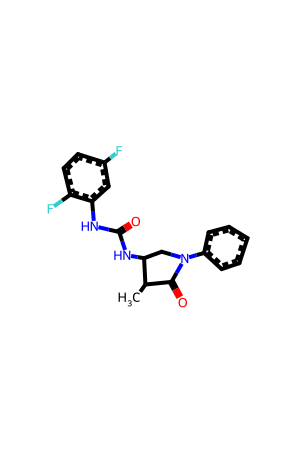 CC1C(=O)N(c2ccccc2)CC1NC(=O)Nc1cc(F)ccc1F